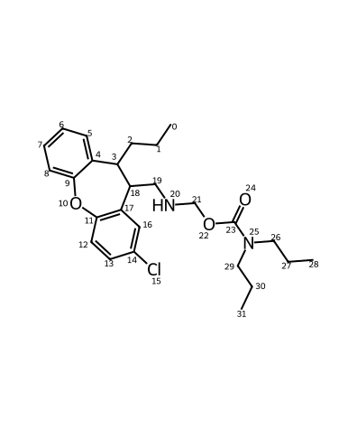 CCCC1c2ccccc2Oc2ccc(Cl)cc2C1CNCOC(=O)N(CCC)CCC